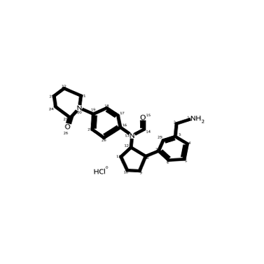 Cl.NCc1cccc(C2CCCC2N(C=O)c2ccc(N3CCCCC3=O)cc2)c1